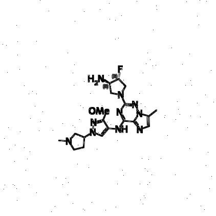 COc1nn(C2CCN(C)C2)cc1Nc1nc(N2C[C@@H](N)[C@H](F)C2)nn2c(C)cnc12